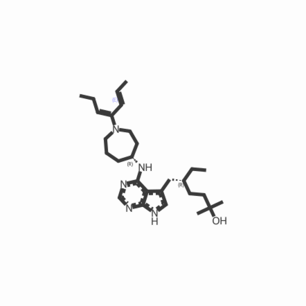 C/C=C/C(=CCC)N1CCC[C@@H](Nc2ncnc3[nH]cc(C[C@H](CC)CCC(C)(C)O)c23)CC1